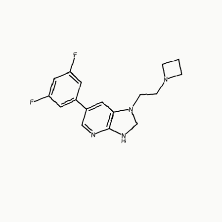 Fc1cc(F)cc(-c2cnc3c(c2)N(CCN2CCC2)CN3)c1